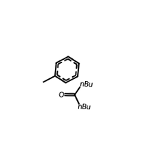 CCCCC(=O)CCCC.Cc1ccccc1